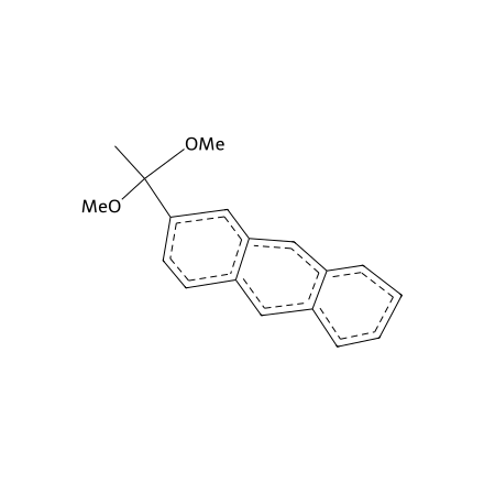 COC(C)(OC)c1ccc2cc3ccccc3cc2c1